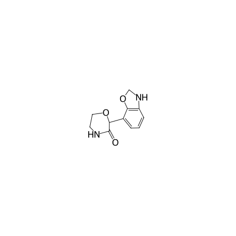 O=C1NCCOC1c1cccc2c1OCN2